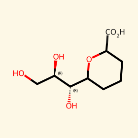 O=C(O)C1CCCC([C@H](O)[C@H](O)CO)O1